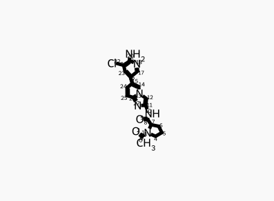 CC(=O)N1CCCC1C(=O)Nc1cn2cc(-c3cnc(N)c(Cl)c3)ccc2n1